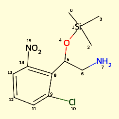 C[Si](C)(C)OC(CN)c1c(Cl)cccc1[N+](=O)[O-]